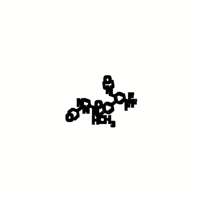 C[C@@H](NC(=O)c1ccnc(C2CCOCC2)n1)c1ccc(-c2cc(C(F)(F)F)ccc2CN2CCOCC2)cc1